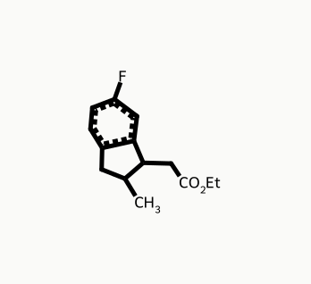 CCOC(=O)CC1c2cc(F)ccc2CC1C